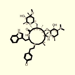 CO[C@]1(C)C[C@H](C[C@H]2[C@H](C)[C@@H](O[C@@H]3O[C@H](C)C[C@H](N(C)C)[C@H]3O)[C@](C)(O)C[C@@H](C)CN(CCc3ccc(Cl)cc3)CC(Cc3c[nH]c4ccccc34)NC(=O)[C@@H]2C)O[C@@H](C)[C@@H]1O